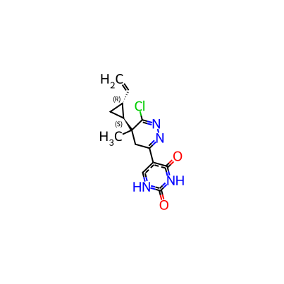 C=C[C@H]1C[C@@H]1C1(C)CC(c2c[nH]c(=O)[nH]c2=O)=NN=C1Cl